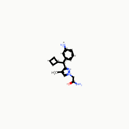 Cc1cn(CC(N)=O)nc1C(c1cccc(N)c1)C1CCC1